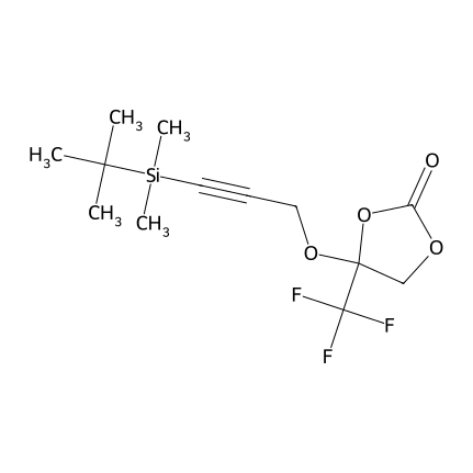 CC(C)(C)[Si](C)(C)C#CCOC1(C(F)(F)F)COC(=O)O1